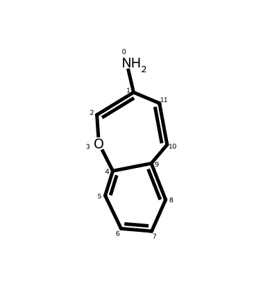 NC1=COc2ccccc2C=C1